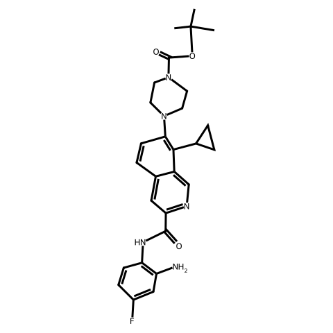 CC(C)(C)OC(=O)N1CCN(c2ccc3cc(C(=O)Nc4ccc(F)cc4N)ncc3c2C2CC2)CC1